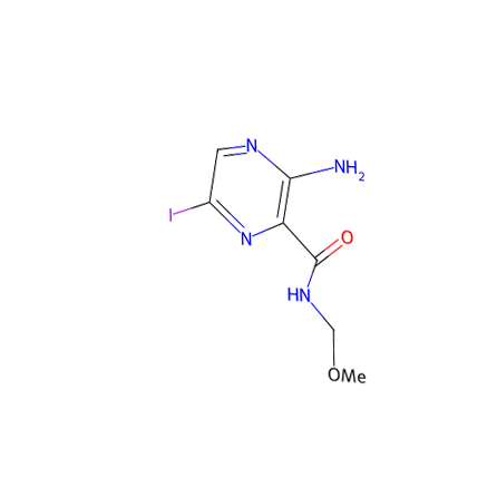 COCNC(=O)c1nc(I)cnc1N